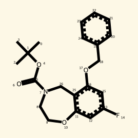 CC(C)(C)OC(=O)N1CCOc2cc(F)cc(OCc3ccccc3)c2C1